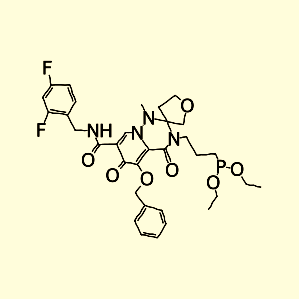 CCOP(CCCN1C(=O)c2c(OCc3ccccc3)c(=O)c(C(=O)NCc3ccc(F)cc3F)cn2N(C)C12CCOC2)OCC